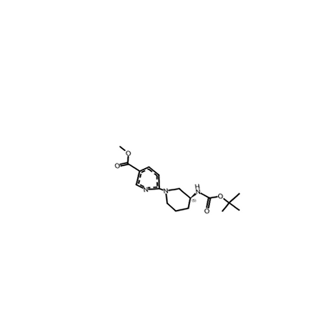 COC(=O)c1ccc(N2CCC[C@H](NC(=O)OC(C)(C)C)C2)nc1